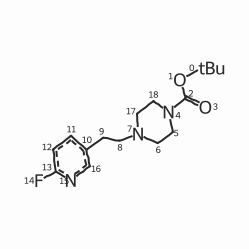 CC(C)(C)OC(=O)N1CCN(CCc2ccc(F)nc2)CC1